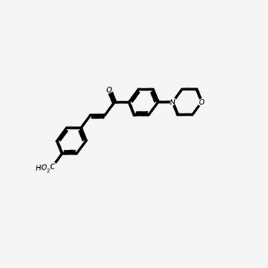 O=C(O)c1ccc(/C=C/C(=O)c2ccc(N3CCOCC3)cc2)cc1